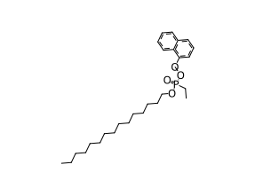 CCCCCCCCCCCCCCCOP(=O)(CC)OOc1cccc2ccccc12